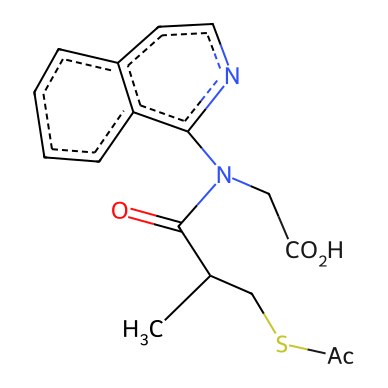 CC(=O)SCC(C)C(=O)N(CC(=O)O)c1nccc2ccccc12